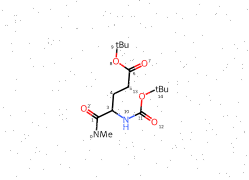 CNC(=O)C(CCC(=O)OC(C)(C)C)NC(=O)OC(C)(C)C